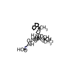 C[C@H](c1cccc2ccccc12)N1CCC(N(CC(=O)NCC(=O)NC/C=C/C(=O)O)S(=O)(=O)NC(=O)OC(C)(C)C)CC1